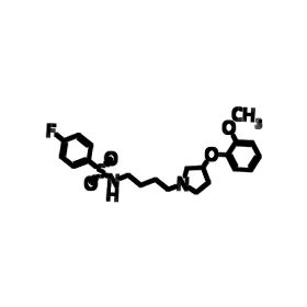 COc1ccccc1OC1CCN(CCCCNS(=O)(=O)c2ccc(F)cc2)C1